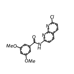 COc1cc(OC)cc(C(=O)Nc2ccc3ccc(Cl)nc3n2)c1